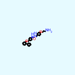 NCCCOc1ccc(CNC(=O)Nc2ccc(COc3ccccc3-c3ccccc3)cc2)cc1